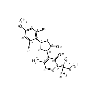 COc1cc(F)c([C@H]2CC(=O)N(c3c(C)ccn(C(P)(P)CO)c3=O)C2)c(F)c1